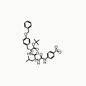 CC(C)C[C@H](NC(=O)Nc1ccc([N+](=O)[O-])cc1)C(=O)N[C@@H](Cc1ccc(OCc2ccccc2)cc1)C(=O)OC(C)(C)C